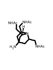 CC(=O)NCC1CC2(N)CC(CNC(C)=O)N1[C@@H](CNC(C)=O)C2